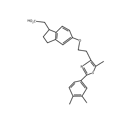 Cc1ccc(-c2nc(CCOc3ccc4c(c3)CCC4CC(=O)O)c(C)s2)cc1C